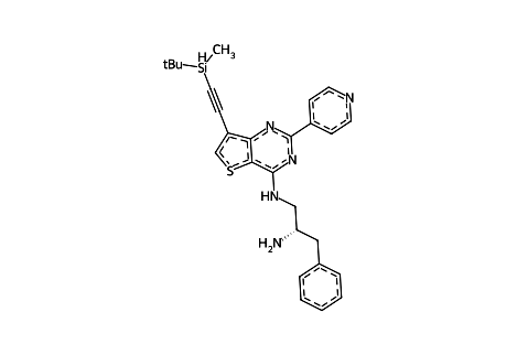 C[SiH](C#Cc1csc2c(NC[C@@H](N)Cc3ccccc3)nc(-c3ccncc3)nc12)C(C)(C)C